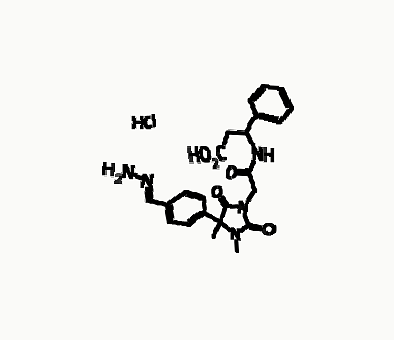 CN1C(=O)N(CC(=O)NC(CC(=O)O)c2ccccc2)C(=O)C1(C)c1ccc(C=NN)cc1.Cl